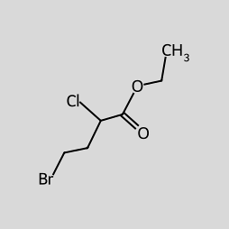 CCOC(=O)C(Cl)CCBr